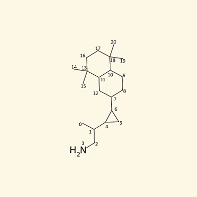 CC(CN)C1CC1C1CCC2C(C1)C(C)(C)CCC2(C)C